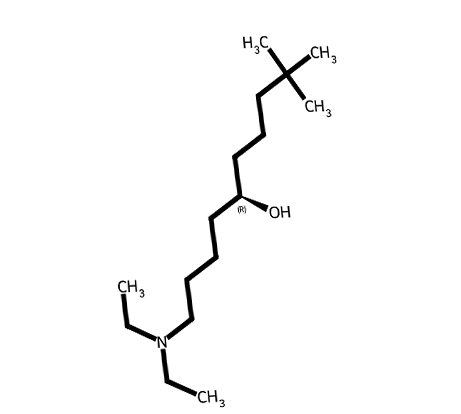 CCN(CC)CCCC[C@H](O)CCCC(C)(C)C